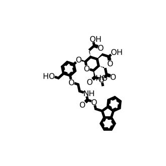 COC(=O)[C@H]1O[C@@H](Oc2ccc(CO)c(OCCNC(=O)OCC3c4ccccc4-c4ccccc43)c2)[C@H](CC(=O)O)[C@@H](CC(=O)O)[C@@H]1CC(=O)O